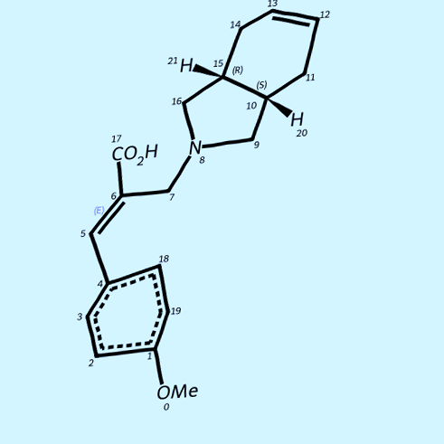 COc1ccc(/C=C(\CN2C[C@H]3CC=CC[C@H]3C2)C(=O)O)cc1